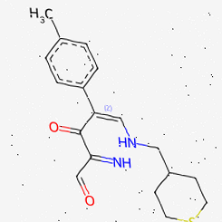 Cc1ccc(/C(=C/NCC2CCSCC2)C(=O)C(=N)C=O)cc1